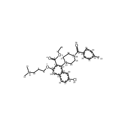 CCOC(=O)c1c(OCCCN(C)C)nc2ccc(Cl)cc2c1N1CCN(C(=O)c2ccc(F)cc2)CC1